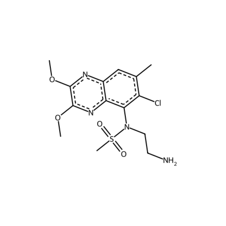 COc1nc2cc(C)c(Cl)c(N(CCN)S(C)(=O)=O)c2nc1OC